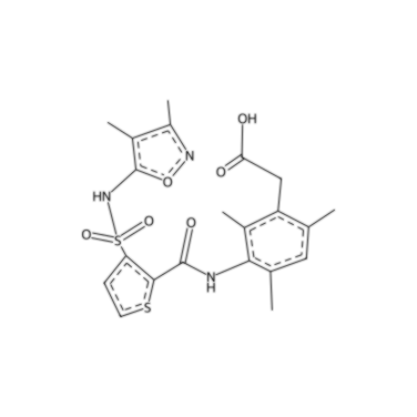 Cc1cc(C)c(NC(=O)c2sccc2S(=O)(=O)Nc2onc(C)c2C)c(C)c1CC(=O)O